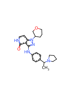 CC(c1ccc(Nc2nn(C3CCCOC3)c3cc[nH]c(=O)c23)cc1)N1CCCC1